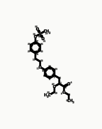 CCOC(=O)C(Cc1ccc(OCCc2ccc(OS(C)(=O)=O)cc2)cc1)OCC